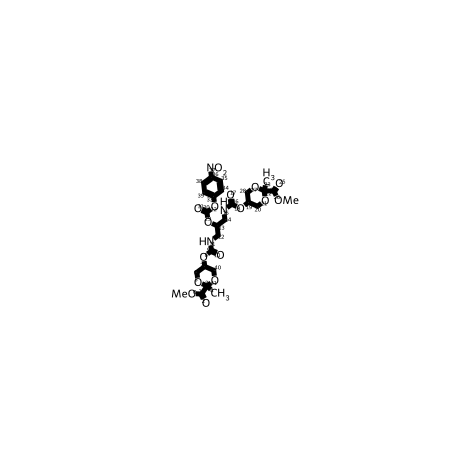 COC(=O)C1(C)OCC(OC(=O)NCC(CNC(=O)OC2COC(C)(C(=O)OC)OC2)OC(=O)Oc2ccc([N+](=O)[O-])cc2)CO1